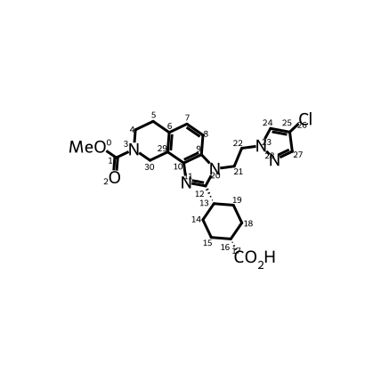 COC(=O)N1CCc2ccc3c(nc([C@H]4CC[C@@H](C(=O)O)CC4)n3CCn3cc(Cl)cn3)c2C1